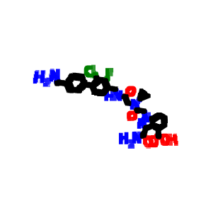 NCc1ccc(-c2ccc(CNC(=O)CN(C(=O)Cn3nc(C(N)=O)c4c(C(=O)O)cccc43)C3CC3)c(F)c2Cl)cc1